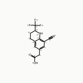 N#Cc1cc(CC(=O)O)cc2c1NC(C(F)(F)F)CC2